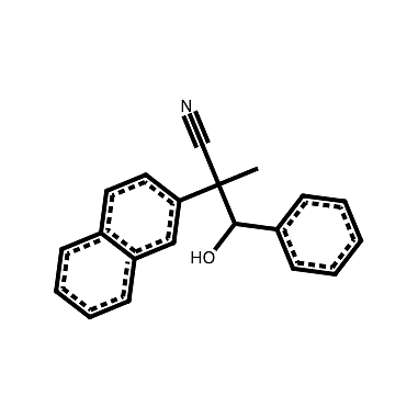 CC(C#N)(c1ccc2ccccc2c1)C(O)c1ccccc1